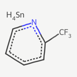 FC(F)(F)c1ccccn1.[SnH4]